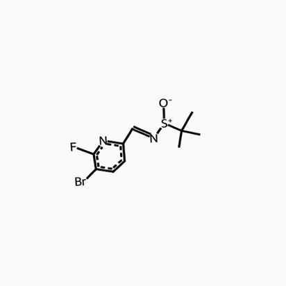 CC(C)(C)[S+]([O-])/N=C/c1ccc(Br)c(F)n1